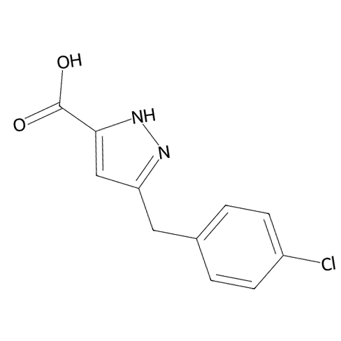 O=C(O)c1cc(Cc2ccc(Cl)cc2)n[nH]1